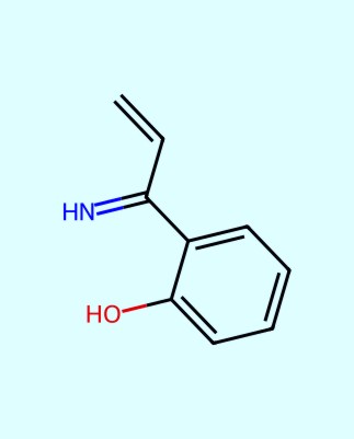 C=CC(=N)c1ccccc1O